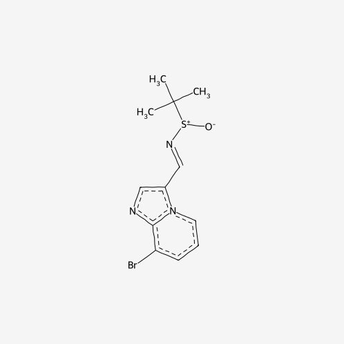 CC(C)(C)[S+]([O-])N=Cc1cnc2c(Br)cccn12